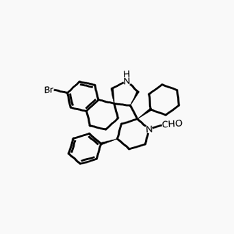 O=CN1CC[C@@H](c2ccccc2)C[C@]1(C1CCCCC1)[C@@H]1CNC[C@]12CCCc1cc(Br)ccc12